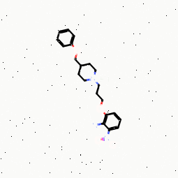 Cl.Nc1c(OCCCN2CCC(COc3ccccc3)CC2)cccc1[N+](=O)[O-]